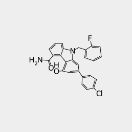 NC(=O)c1cccc2c1c1c(O)cc(-c3ccc(Cl)cc3)cc1n2Cc1ccccc1F